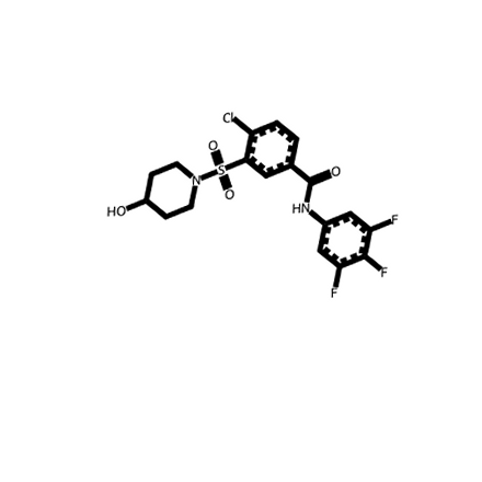 O=C(Nc1cc(F)c(F)c(F)c1)c1ccc(Cl)c(S(=O)(=O)N2CCC(O)CC2)c1